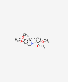 COc1cc2c(cc1OC)[C@@H]1CCc3ccc(OC)c(C(C)=O)c3CN1CC2